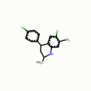 O=C(O)C1CC(c2ccc(Cl)cc2)c2cc(Cl)c(C(F)(F)F)cc2N1